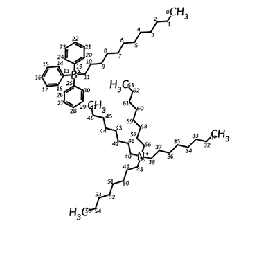 CCCCCCCCCCCC[B-](c1ccccc1)(c1ccccc1)c1ccccc1.CCCCCCCC[N+](CCCCCCCC)(CCCCCCCC)CCCCCCCC